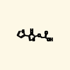 O=C(O)COC1NC(c2cccs2)=CS1